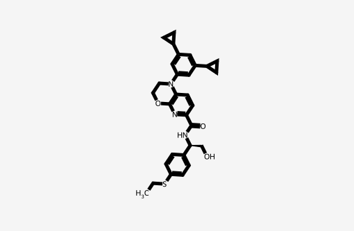 CCSc1ccc([C@H](CO)NC(=O)c2ccc3c(n2)OCCN3c2cc(C3CC3)cc(C3CC3)c2)cc1